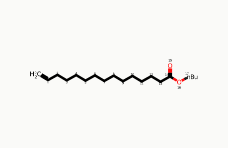 C=CCCCCCCCCCCCCC(=O)OCCCC